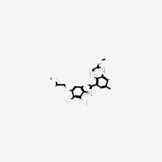 COC(=O)COc1cc2sc(-c3cc(C)cc4nc(OC)cnc34)nc2c(Cl)c1F